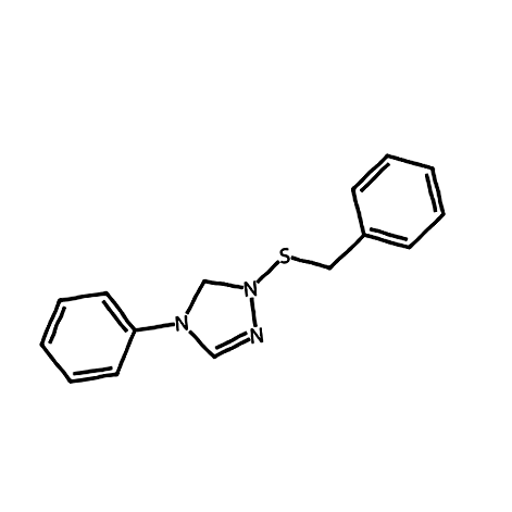 C1=NN(SCc2ccccc2)CN1c1ccccc1